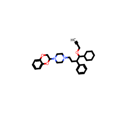 C#CCOC(C1CCCCC1)C(CCN1CCN(C2COc3ccccc3O2)CC1)c1ccccc1